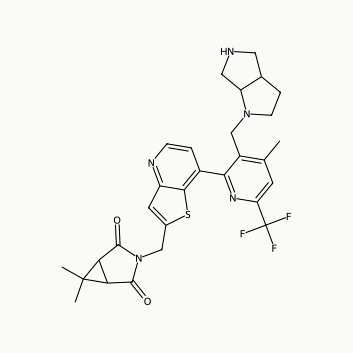 Cc1cc(C(F)(F)F)nc(-c2ccnc3cc(CN4C(=O)C5C(C4=O)C5(C)C)sc23)c1CN1CCC2CNCC21